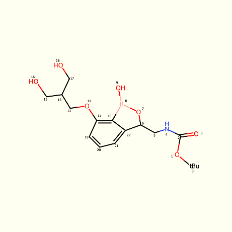 CC(C)(C)OC(=O)NCC1OB(O)c2c(OCC(CO)CO)cccc21